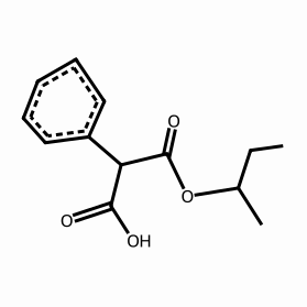 CCC(C)OC(=O)C(C(=O)O)c1ccccc1